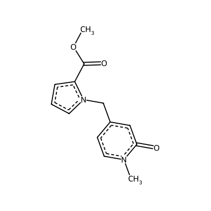 COC(=O)c1cccn1Cc1ccn(C)c(=O)c1